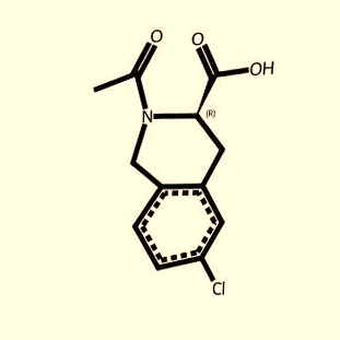 CC(=O)N1Cc2ccc(Cl)cc2C[C@@H]1C(=O)O